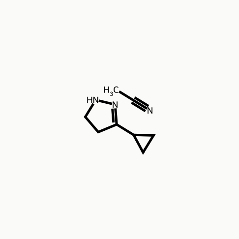 C1CC(C2CC2)=NN1.CC#N